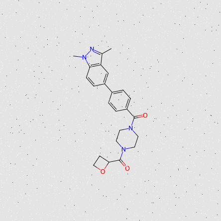 Cc1nn(C)c2ccc(-c3ccc(C(=O)N4CCN(C(=O)C5CCO5)CC4)cc3)cc12